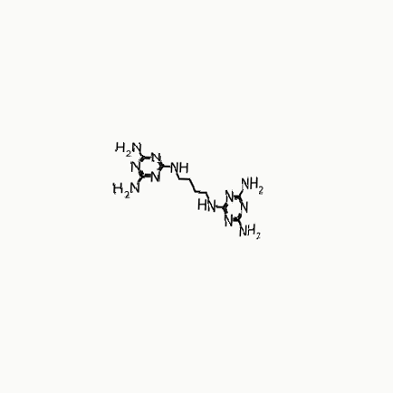 Nc1nc(N)nc(NCCCCNc2nc(N)nc(N)n2)n1